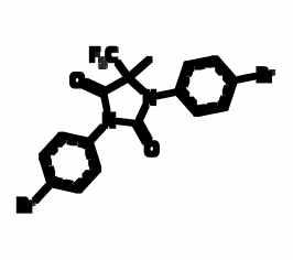 CC1(C(F)(F)F)C(=O)N(c2ccc(Br)cc2)C(=O)N1c1ccc(Br)cc1